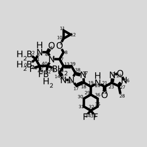 BC1(B)NC(=O)N(C(COC2CC2)c2cnn3cc(C(NC(=O)c4nonc4C)C4CCC(F)(F)CC4)nc3c2)C(B)(B)C1(F)F